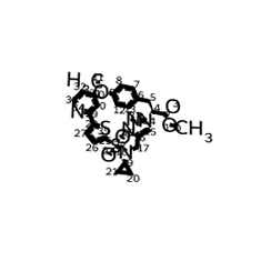 COC(=O)[C@H](Cc1ccc(OC)cc1)n1cc(CN(C2CC2)S(=O)(=O)c2ccc(-c3ccccn3)s2)nn1